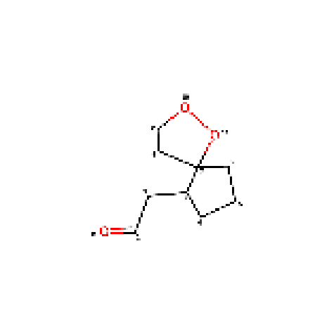 O=CCC1CCCC12CCOO2